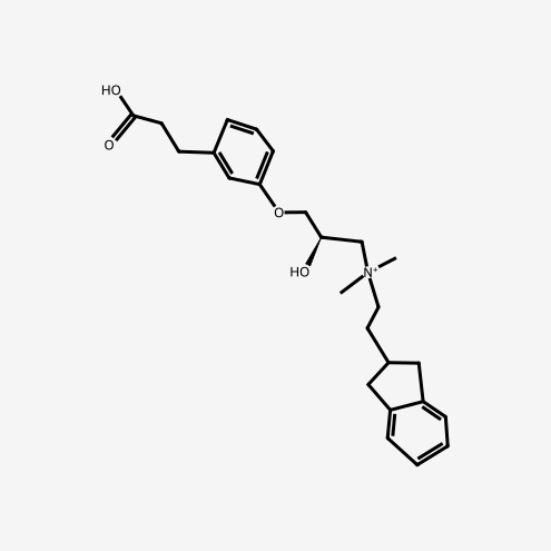 C[N+](C)(CCC1Cc2ccccc2C1)C[C@@H](O)COc1cccc(CCC(=O)O)c1